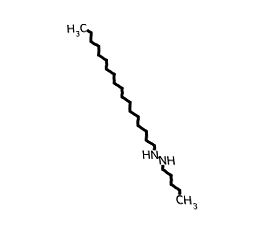 CCCCCCCCCCCCCCCCCCNNCCCCC